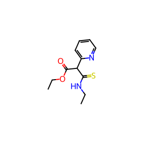 CCNC(=S)C(C(=O)OCC)c1ccccn1